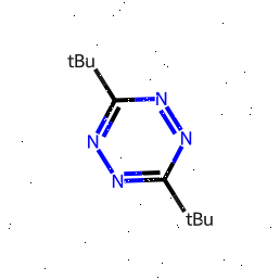 CC(C)(C)c1nnc(C(C)(C)C)nn1